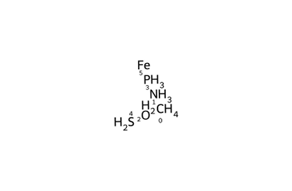 C.N.O.P.S.[Fe]